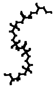 CCCC(C)CCNC(=O)CCC(C)(C)OCCC(C)(C)NC(=O)C(C)(C)CCOC(C)(C)CCNC(C)CC